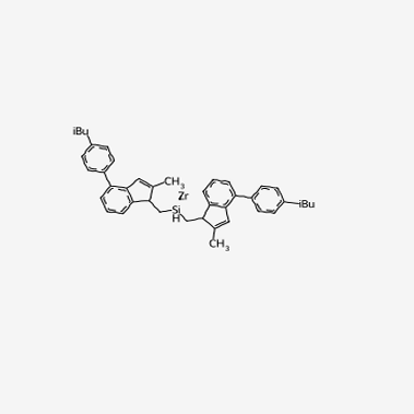 CCC(C)c1ccc(-c2cccc3c2C=C(C)C3C[SiH]([Zr])CC2C(C)=Cc3c(-c4ccc(C(C)CC)cc4)cccc32)cc1